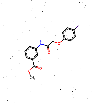 COC(=O)c1cccc(NC(=O)COc2ccc(I)cc2)c1